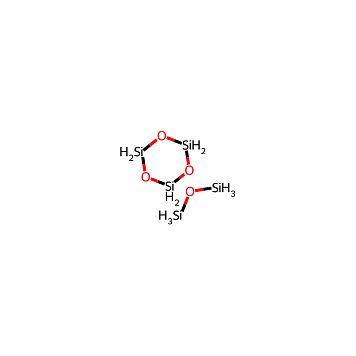 O1[SiH2]O[SiH2]O[SiH2]1.[SiH3]O[SiH3]